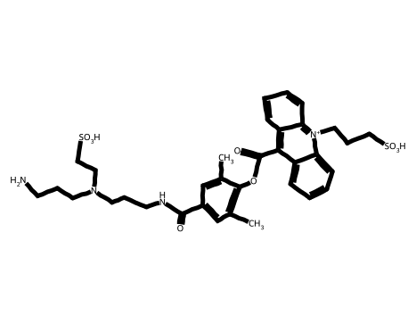 Cc1cc(C(=O)NCCCN(CCCN)CCS(=O)(=O)O)cc(C)c1OC(=O)c1c2ccccc2[n+](CCCS(=O)(=O)O)c2ccccc12